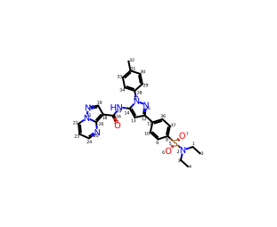 CCN(CC)S(=O)(=O)c1ccc(-c2cc(NC(=O)c3cnn4cccnc34)n(-c3ccc(C)cc3)n2)cc1